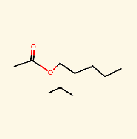 CCC.CCCCCOC(C)=O